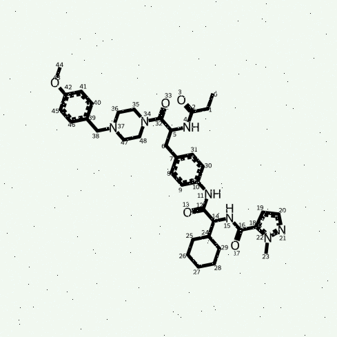 CCC(=O)NC(Cc1ccc(NC(=O)C(NC(=O)c2ccnn2C)C2CCCCC2)cc1)C(=O)N1CCN(Cc2ccc(OC)cc2)CC1